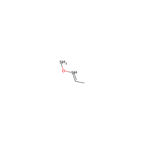 CC=[SiH]O[SiH3]